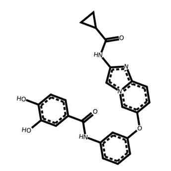 O=C(Nc1cccc(Oc2ccc3nc(NC(=O)C4CC4)cn3c2)c1)c1ccc(O)c(O)c1